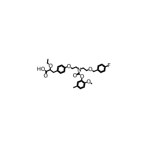 CCOC(Cc1ccc(OCCN(CCOCc2ccc(F)cc2)C(=O)Oc2cc(C)ccc2OC)cc1)C(=O)O